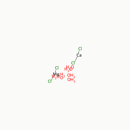 O.O.O.O.O.O.[Cl][Ca][Cl].[Cl][Mg][Cl]